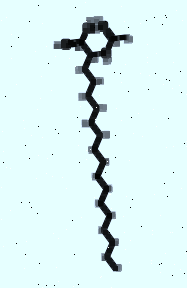 CCCCCCCCCCCCCCCCC(OC(C)=O)C(=O)O